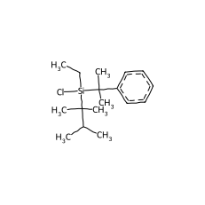 CC[Si](Cl)(C(C)(C)c1ccccc1)C(C)(C)C(C)C